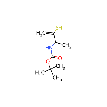 C=C(S)C(C)NC(=O)OC(C)(C)C